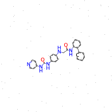 O=C(CNc1ccc(NC(=O)Nc2ccncc2)cc1)Nc1ccccc1-c1ccccc1